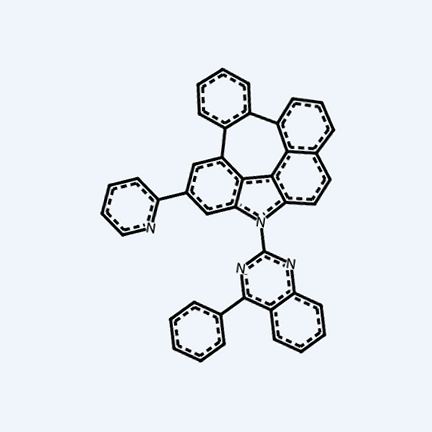 c1ccc(-c2nc(-n3c4cc(-c5ccccn5)cc5c4c4c6c(cccc6ccc43)-c3ccccc3-5)nc3ccccc23)cc1